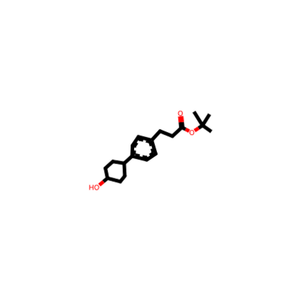 CC(C)(C)OC(=O)CCc1ccc(C2CCC(O)CC2)cc1